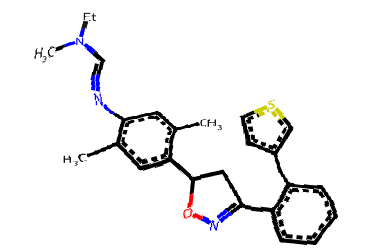 CCN(C)C=Nc1cc(C)c(C2CC(c3ccccc3-c3ccsc3)=NO2)cc1C